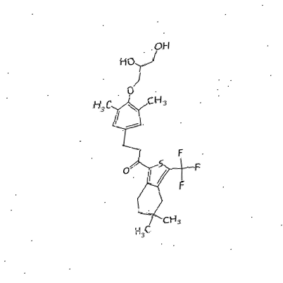 Cc1cc(CCC(=O)c2sc(C(F)(F)F)c3c2CCC(C)(C)C3)cc(C)c1OCC(O)CO